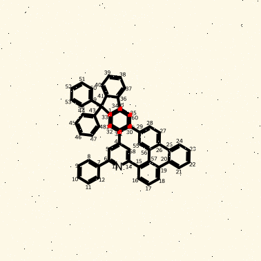 c1ccc(-c2cc(-c3ccccc3)nc(-c3cccc4c5ccccc5c5ccc(-c6ccc7c(c6)-c6ccccc6C7(c6ccccc6)c6ccccc6)cc5c34)c2)cc1